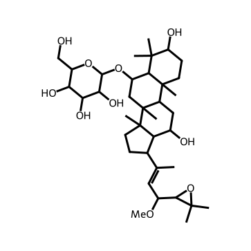 COC(/C=C(\C)C1CCC2(C)C1C(O)CC1C3(C)CCC(O)C(C)(C)C3C(OC3OC(CO)C(O)C(O)C3O)CC12C)C1OC1(C)C